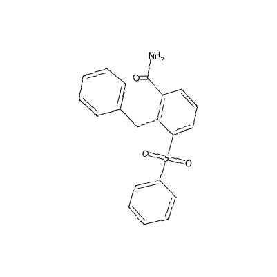 NC(=O)c1cccc(S(=O)(=O)c2ccccc2)c1Cc1ccccc1